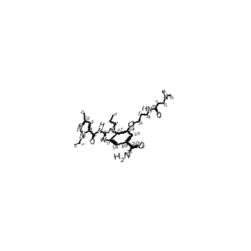 CCCn1c(NC(=O)c2cc(C)nn2CC)nc2cc(C(N)=O)cc(OCCCNC(=O)CCN(C)C)c21